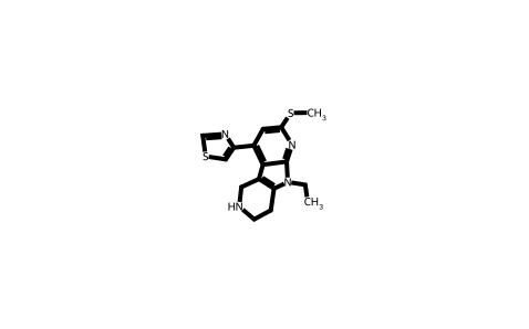 CCn1c2c(c3c(-c4cscn4)cc(SC)nc31)CNCC2